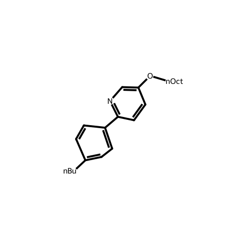 CCCCCCCCOc1ccc(-c2ccc(CCCC)cc2)nc1